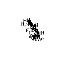 COC(=O)N[C@H](C(=O)N1CCCC1c1nc(-c2ccc(-c3cc(Cl)c(NC(=O)c4ccc(N5CCNCC5C)nc4)cc3OC(F)(F)F)cc2)c[nH]1)C(C)C